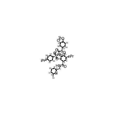 CCCc1cc(C(=O)NCc2cccc(C)n2)ccc1OC(C(=O)NS(=O)(=O)c1ccc(C(C)C)cc1)c1ccc2c(c1)OCO2